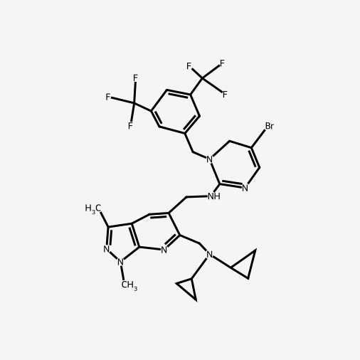 Cc1nn(C)c2nc(CN(C3CC3)C3CC3)c(CNC3=NC=C(Br)CN3Cc3cc(C(F)(F)F)cc(C(F)(F)F)c3)cc12